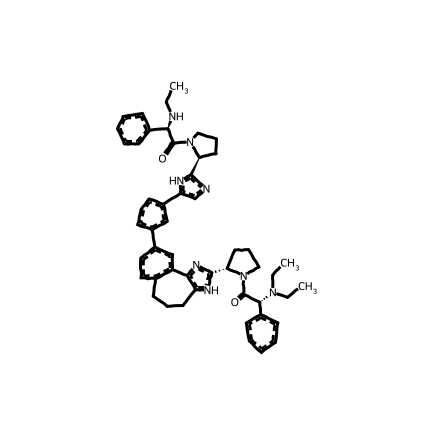 CCN[C@@H](C(=O)N1CCC[C@H]1c1ncc(-c2cccc(-c3ccc4c(c3)-c3nc([C@@H]5CCCN5C(=O)[C@@H](c5ccccc5)N(CC)CC)[nH]c3CCC4)c2)[nH]1)c1ccccc1